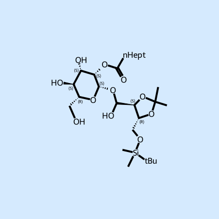 CCCCCCCC(=O)O[C@@H]1[C@H](OC(O)[C@H]2OC(C)(C)O[C@@H]2CO[Si](C)(C)C(C)(C)C)O[C@H](CO)[C@@H](O)[C@@H]1O